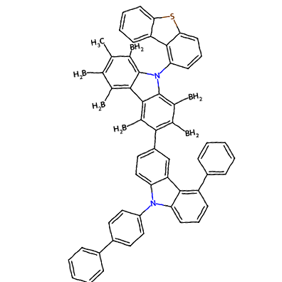 Bc1c(C)c(B)c2c(c1B)c1c(B)c(-c3ccc4c(c3)c3c(-c5ccccc5)cccc3n4-c3ccc(-c4ccccc4)cc3)c(B)c(B)c1n2-c1cccc2sc3ccccc3c12